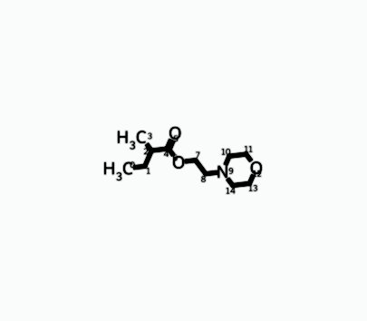 CCC(C)C(=O)OCCN1CCOCC1